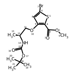 COC(=O)c1sc(Br)cc1OC[C@H](C)NC(=O)OC(C)(C)C